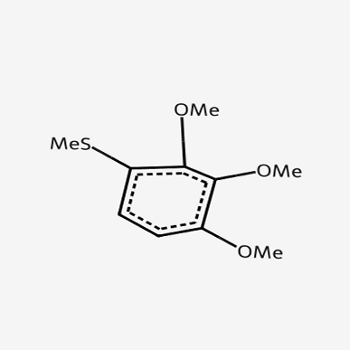 COc1ccc(SC)c(OC)c1OC